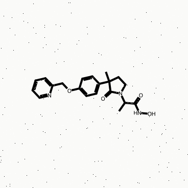 CC(C(=O)NO)N1CCC(C)(c2ccc(OCc3ccccn3)cc2)C1=O